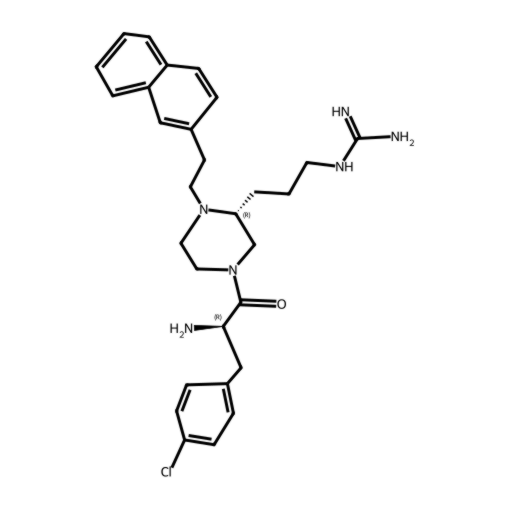 N=C(N)NCCC[C@@H]1CN(C(=O)[C@H](N)Cc2ccc(Cl)cc2)CCN1CCc1ccc2ccccc2c1